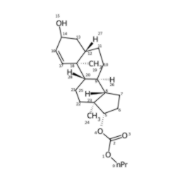 CCCOC(=O)O[C@H]1CC[C@H]2[C@@H]3CC[C@H]4CC(O)C=C[C@]4(C)[C@H]3CC[C@]12C